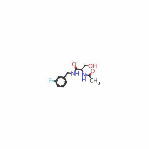 CC(=O)N[C@H](CO)C(=O)NCc1cccc(F)c1